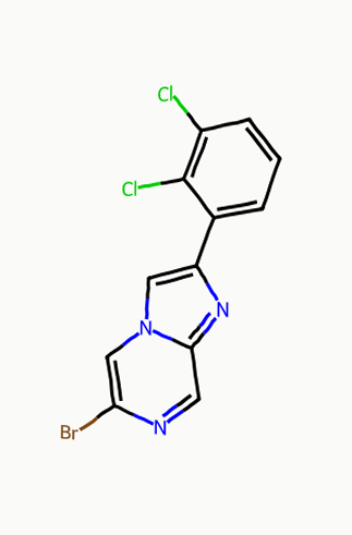 Clc1cccc(-c2cn3cc(Br)ncc3n2)c1Cl